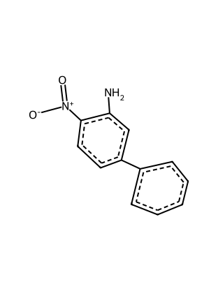 Nc1cc(-c2ccccc2)ccc1[N+](=O)[O-]